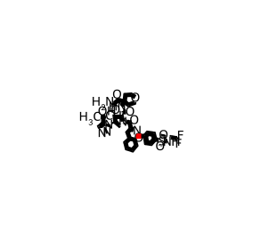 CC(C)(O)c1cnnn1[C@H]1C[C@@H](C(=O)NC2(C(=O)C(N)=O)CCOCC2)N(C(=O)/C(CC2CCCCC2)=N/C(=O)c2ccc(S(=O)(=O)NCC(F)F)cc2)C1